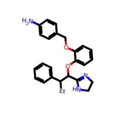 CCC(c1ccccc1)C(Oc1ccccc1OCc1ccc(N)cc1)C1=NCCN1